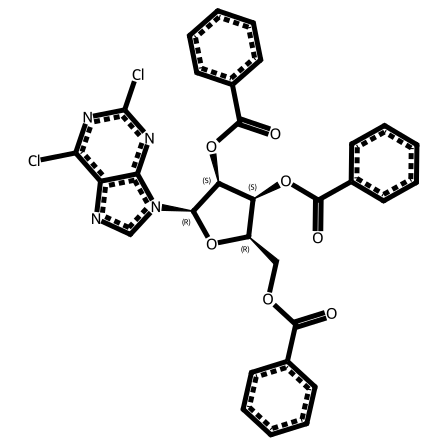 O=C(OC[C@H]1O[C@@H](n2cnc3c(Cl)nc(Cl)nc32)[C@@H](OC(=O)c2ccccc2)[C@H]1OC(=O)c1ccccc1)c1ccccc1